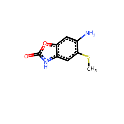 CSc1cc2[nH]c(=O)oc2cc1N